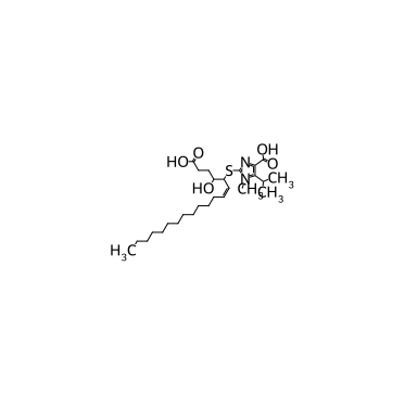 CCCCCCCCCCCC/C=C\C(Sc1nc(C(=O)O)c(C(C)C)n1C)C(O)CCC(=O)O